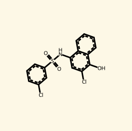 O=S(=O)(Nc1cc(Cl)c(O)c2ccccc12)c1cccc(Cl)c1